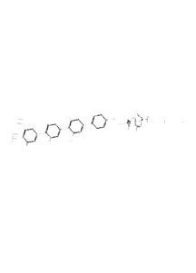 CCCCCC12COC(CCc3ccc(-c4ccc(-c5cc(F)c(-c6cc(F)c(F)c(F)c6)c(F)c5)c(F)c4)cc3)(OC1)OC2